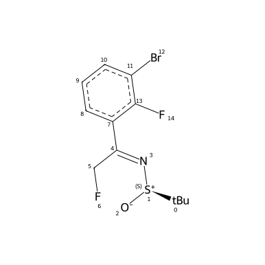 CC(C)(C)[S@@+]([O-])N=C(CF)c1cccc(Br)c1F